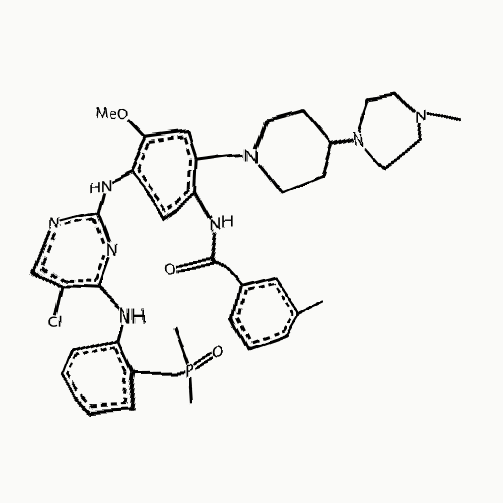 COc1cc(N2CCC(N3CCN(C)CC3)CC2)c(NC(=O)c2cccc(C)c2)cc1Nc1ncc(Cl)c(Nc2ccccc2P(C)(C)=O)n1